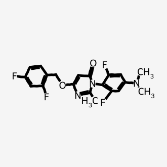 Cc1nc(OCc2ccc(F)cc2F)cc(=O)n1-c1c(F)cc(N(C)C)cc1F